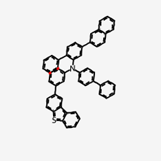 c1ccc(-c2ccc(N(c3cccc(-c4ccc5sc6ccccc6c5c4)c3)c3cc(-c4ccc5ccccc5c4)ccc3-c3ccccc3)cc2)cc1